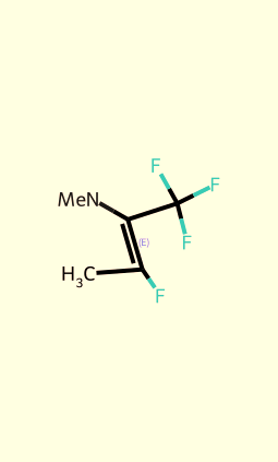 CN/C(=C(\C)F)C(F)(F)F